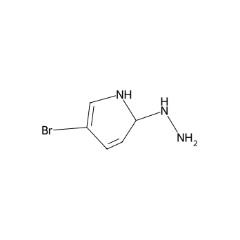 NNC1C=CC(Br)=CN1